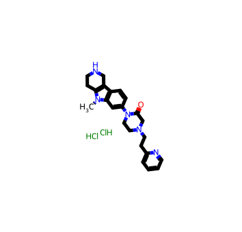 Cl.Cl.Cn1c2c(c3ccc(N4CCN(CCc5ccccn5)CC4=O)cc31)CNCC2